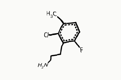 Cc1ccc(F)c(CCN)c1Cl